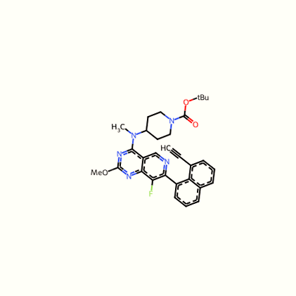 C#Cc1cccc2cccc(-c3ncc4c(N(C)C5CCN(C(=O)OC(C)(C)C)CC5)nc(OC)nc4c3F)c12